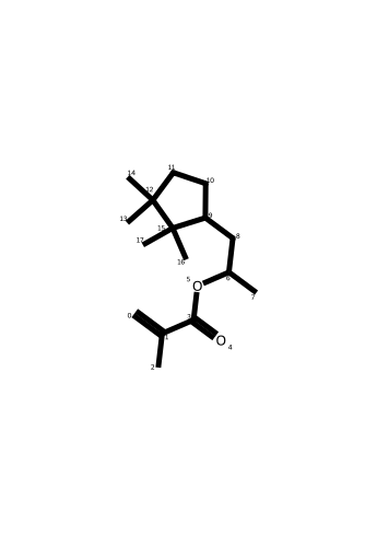 C=C(C)C(=O)OC(C)CC1CCC(C)(C)C1(C)C